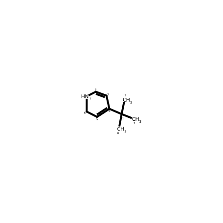 CC(C)(C)C1=CCNC=C1